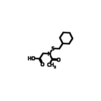 CC(=O)N(CC(=O)O)SCC1CCCCC1